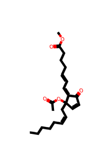 CCCCC/C=C\CC1(OC(C)=O)C=CC(=O)/C1=C\C=C\CCCC(=O)OC